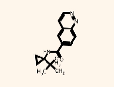 CC(C)(C)C1(NC(=O)c2ccc3nnccc3c2)CC1